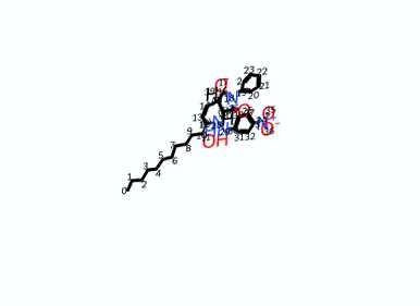 CCCCCCCCCCC(O)[C@H]1C=C[C@H]2C(=O)N(c3ccccc3)C(=O)[C@H]2N1Nc1ccc([N+](=O)[O-])cc1